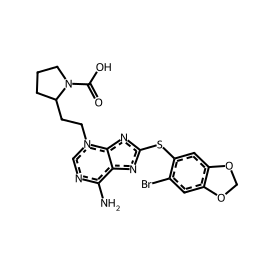 Nc1ncn(CCC2CCCN2C(=O)O)c2nc(Sc3cc4c(cc3Br)OCO4)nc1-2